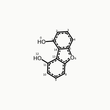 Oc1cccc2oc3cccc(O)c3c12